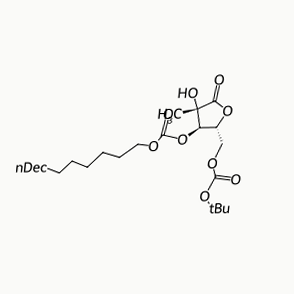 CCCCCCCCCCCCCCCCOC(=O)O[C@@H]1[C@@H](COC(=O)OC(C)(C)C)OC(=O)[C@@]1(C)O